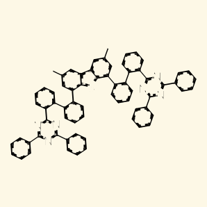 Cc1cc(-c2ccccc2-c2ccccc2-c2nc(-c3ccccc3)nc(-c3ccccc3)n2)c2sc3c(-c4ccccc4-c4ccccc4-c4nc(-c5ccccc5)nc(-c5ccccc5)n4)cc(C)cc3c2c1